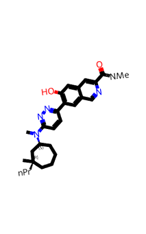 CCC[C@]1(C)CCCC[C@H](N(C)c2ccc(-c3cc4cnc(C(=O)NC)cc4cc3O)nn2)C1